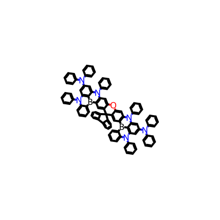 c1ccc(N(c2ccccc2)c2cc3c4c(c2)N(c2ccccc2)c2cc5c(cc2B4c2ccccc2N3c2ccccc2)C2(c3cc4c(cc3O5)N(c3ccccc3)c3cc(N(c5ccccc5)c5ccccc5)cc5c3B4c3ccccc3N5c3ccccc3)c3ccccc3-c3ccccc32)cc1